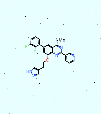 CNc1nc(-c2cccnc2)nc2c(OCCc3cn[nH]c3)cc(-c3cccc(F)c3F)cc12